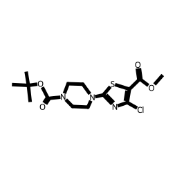 COC(=O)c1sc(N2CCN(C(=O)OC(C)(C)C)CC2)nc1Cl